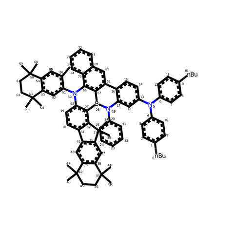 CCCCc1ccc(N(c2ccc(CCCC)cc2)c2ccc3c(c2)N(c2ccccc2)B2c4c(ccc5c4C(C)(C)c4cc6c(cc4-5)C(C)(C)CCC6(C)C)N(c4cc5c(cc4C)C(C)(C)CCC5(C)C)c4c2c-3cc2ccccc42)cc1